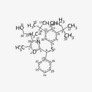 Cc1oc(C(Sc2cc(C(C)(C)C)c(O)c(C(C)(C)C)c2)c2ccccc2)nc1CCO